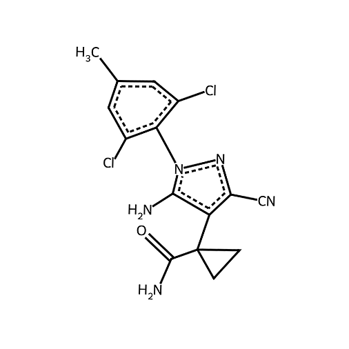 Cc1cc(Cl)c(-n2nc(C#N)c(C3(C(N)=O)CC3)c2N)c(Cl)c1